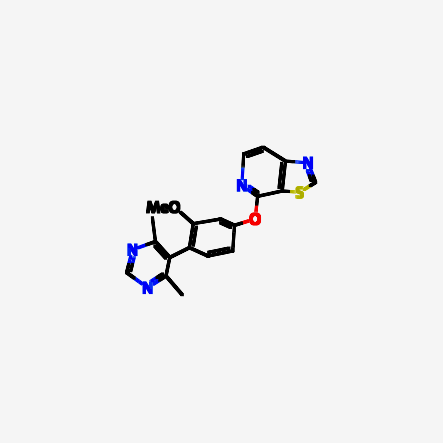 COc1cc(Oc2nccc3ncsc23)ccc1-c1c(C)ncnc1C